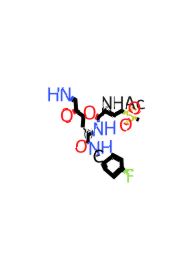 CC(=O)N[C@@H](CCS(C)(=O)=O)C(=O)N[C@@H](CCC(=O)C=N)C(=O)NCc1ccc(F)cc1